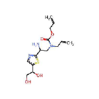 C=CCOC(=O)N(CC=C)CC(N)c1ncc(C(O)CO)s1